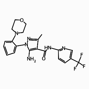 Cc1nn(-c2ccccc2N2CCOCC2)c(N)c1C(=O)Nc1ccc(C(F)(F)F)cn1